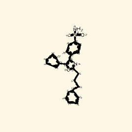 NS(=O)(=O)c1ccc(-c2nc(CCCc3ccccc3)oc2-c2ccccc2)cc1